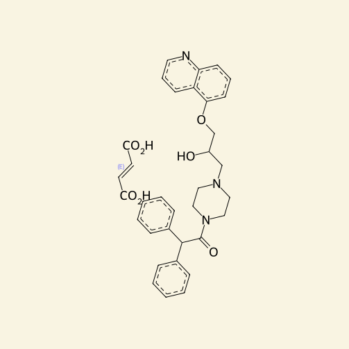 O=C(C(c1ccccc1)c1ccccc1)N1CCN(CC(O)COc2cccc3ncccc23)CC1.O=C(O)/C=C/C(=O)O